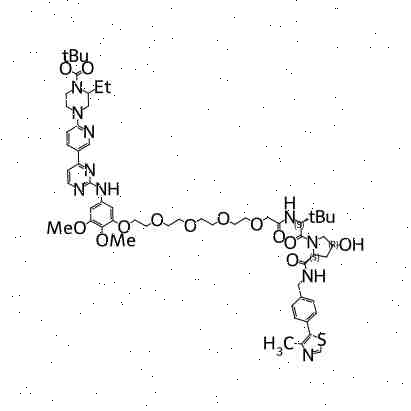 CCC1CN(c2ccc(-c3ccnc(Nc4cc(OC)c(OC)c(OCCOCCOCCOCCOCC(=O)N[C@H](C(=O)N5C[C@H](O)C[C@H]5C(=O)NCc5ccc(-c6scnc6C)cc5)C(C)(C)C)c4)n3)cn2)CCN1C(=O)OC(C)(C)C